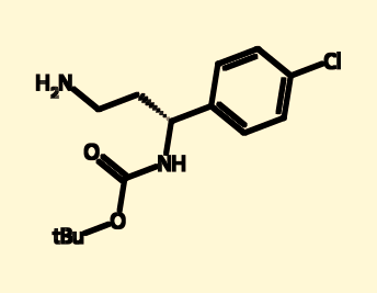 CC(C)(C)OC(=O)N[C@H](CCN)c1ccc(Cl)cc1